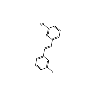 Nc1cccc(C=Cc2cccc(F)c2)n1